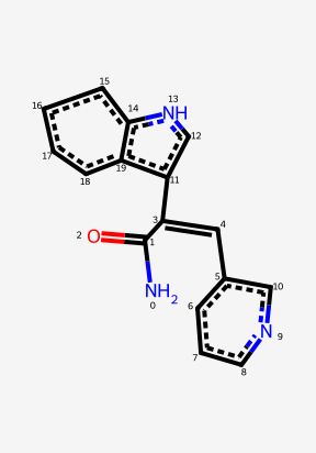 NC(=O)C(=Cc1cccnc1)c1c[nH]c2ccccc12